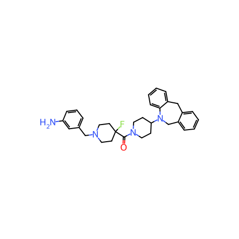 Nc1cccc(CN2CCC(F)(C(=O)N3CCC(N4Cc5ccccc5Cc5ccccc54)CC3)CC2)c1